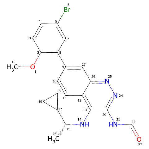 COc1ccc(Br)cc1-c1ccc2c(N[C@H](C)C3CC3)c(NC=O)nnc2c1